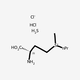 CCC[S+](C)CC[C@H](N)C(=O)O.Cl.S.[Cl-]